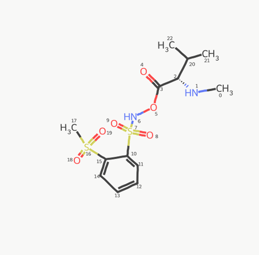 CN[C@H](C(=O)ONS(=O)(=O)c1ccccc1S(C)(=O)=O)C(C)C